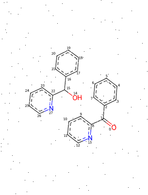 O=C(c1ccccc1)c1ccccn1.OC(c1ccccc1)c1ccccn1